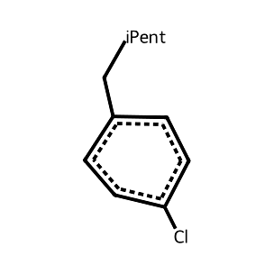 [CH2]CCC(C)Cc1ccc(Cl)cc1